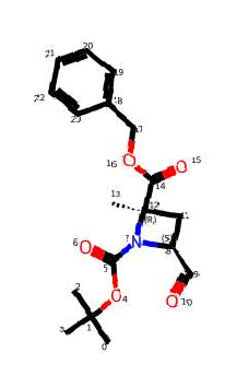 CC(C)(C)OC(=O)N1[C@H](C=O)C[C@]1(C)C(=O)OCc1ccccc1